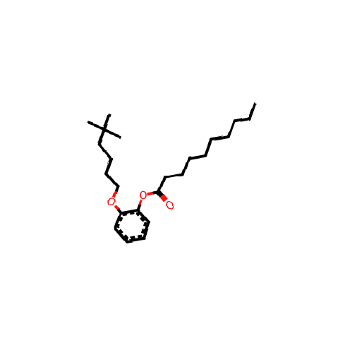 CCCCCCCCCC(=O)Oc1ccccc1OCCCCC(C)(C)C